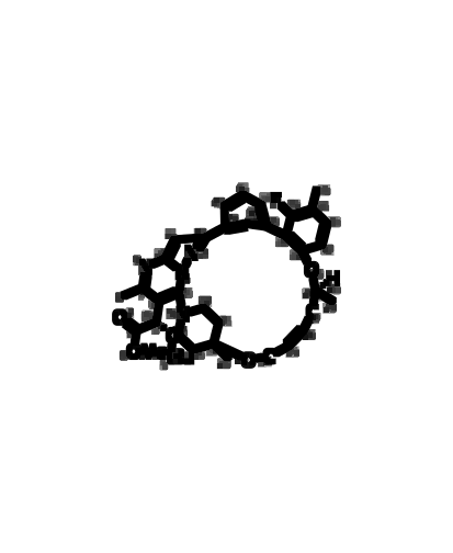 COC(=O)[C@@H](OC(C)(C)C)c1c(C)nc2cc3nn2c1N1CCC(C)(CC1)OCC=CC[C@H](C)Oc1ccc(C)c(F)c1-c1cccc-3c1